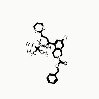 CC(C)(C)[S@+]([O-])NC(CCC1OCCCO1)c1cc(Cl)cc2c1CCN(C(=O)OCc1ccccc1)C2